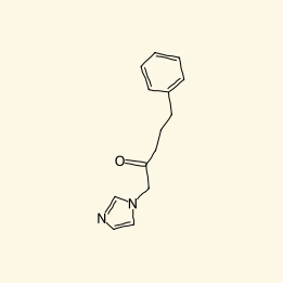 O=C(CCCc1ccccc1)Cn1ccnc1